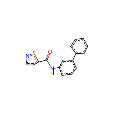 O=C(Nc1cccc(-c2ccccc2)c1)c1ccns1